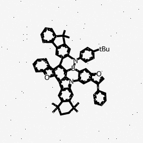 CC(C)(C)c1ccc(N2B3c4cc5occ(-c6ccccc6)c5cc4-n4c5cc6c(cc5c5c7oc8ccccc8c7c(c3c54)-c3cc4c(cc32)C(C)(C)c2ccccc2-4)C(C)(C)CCC6(C)C)cc1